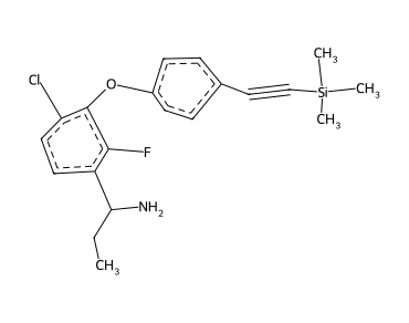 CCC(N)c1ccc(Cl)c(Oc2ccc(C#C[Si](C)(C)C)cc2)c1F